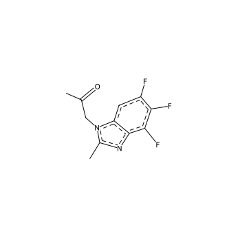 CC(=O)Cn1c(C)nc2c(F)c(F)c(F)cc21